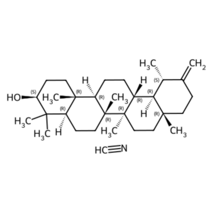 C#N.C=C1CC[C@]2(C)CC[C@]3(C)[C@H](CC[C@@H]4[C@@]5(C)CC[C@H](O)C(C)(C)[C@@H]5CC[C@]43C)[C@H]2[C@@H]1C